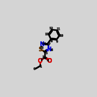 CCOC(=O)c1nc(-c2ccccc2)ns1